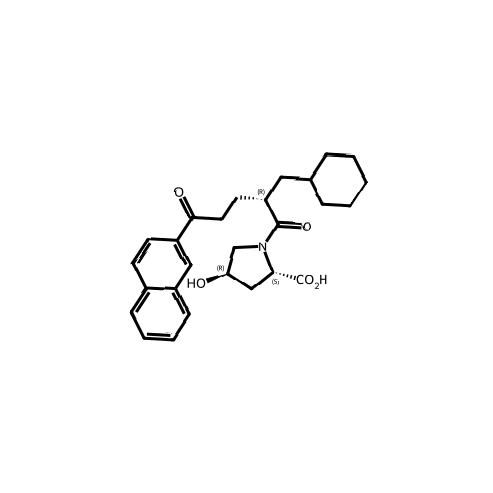 O=C(CC[C@H](CC1CCCCC1)C(=O)N1C[C@H](O)C[C@H]1C(=O)O)c1ccc2ccccc2c1